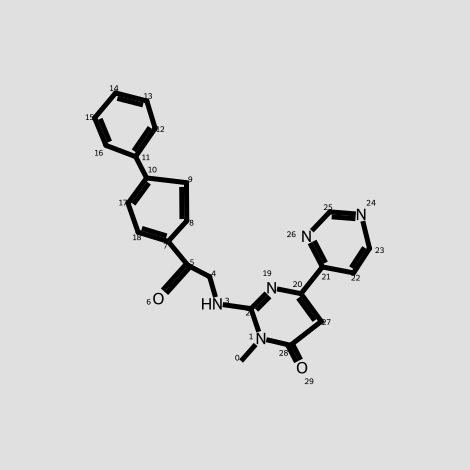 Cn1c(NCC(=O)c2ccc(-c3ccccc3)cc2)nc(-c2ccncn2)cc1=O